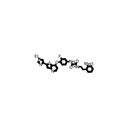 CCn1cnc(-c2cc3nccc(Oc4ccc(NC(=O)C(=O)NCCc5ccccc5OC)cc4F)c3s2)c1